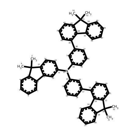 CC1(C)c2ccccc2-c2cc(N(c3cccc(-c4cccc5c4-c4ccccc4C5(C)C)c3)c3cccc(-c4cccc5c4-c4ccccc4C5(C)C)c3)ccc21